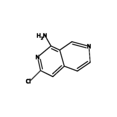 Nc1nc(Cl)cc2ccncc12